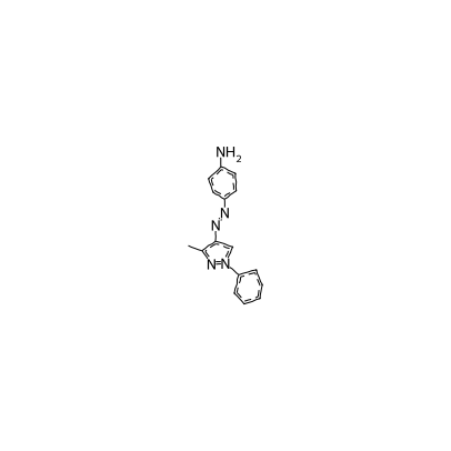 Cc1nn(-c2ccccc2)cc1N=Nc1ccc(N)cc1